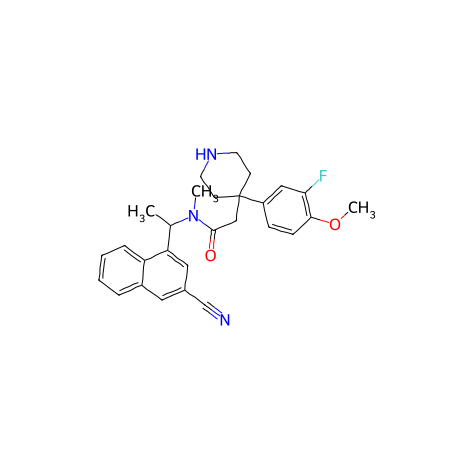 COc1ccc(C2(CC(=O)N(C)C(C)c3cc(C#N)cc4ccccc34)CCNCC2)cc1F